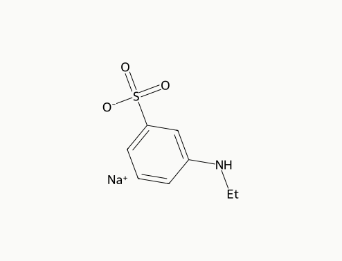 CCNc1cccc(S(=O)(=O)[O-])c1.[Na+]